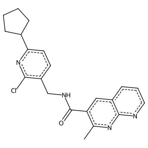 Cc1nc2ncccc2cc1C(=O)NCc1ccc(C2CCCC2)nc1Cl